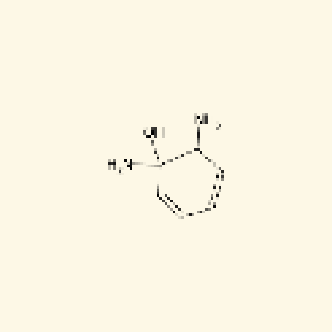 NC1C=CC=CC1(N)O